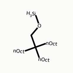 CCCCCCCCC(CCCCCCCC)(CCCCCCCC)CO[SiH3]